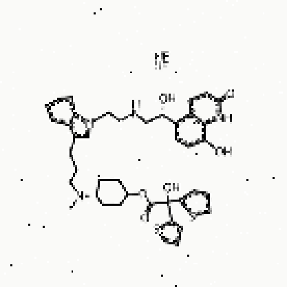 CN(CCCc1cn(CCNC[C@H](O)c2ccc(O)c3[nH]c(=O)ccc23)c2ccccc12)[C@H]1CC[C@H](OC(=O)C(O)(c2cccs2)c2cccs2)CC1.F.F